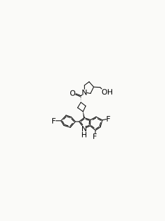 O=C([C@H]1C[C@H](c2c(-c3ccc(F)cc3)[nH]c3c(F)cc(F)cc32)C1)N1CCC(CO)C1